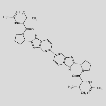 CC(=O)N[C@H](C(=O)N1CCC[C@H]1c1nc2cc(-c3ccc4[nH]c([C@@H]5CCCN5C(=O)[C@H](NC(C)=O)C(C)C)nc4c3)ccc2[nH]1)C(C)C